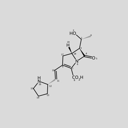 C[C@@H](O)[C@H]1C(=O)N2C(C(=O)O)=C(/C=C/[C@@H]3CCCN3)C[C@H]12